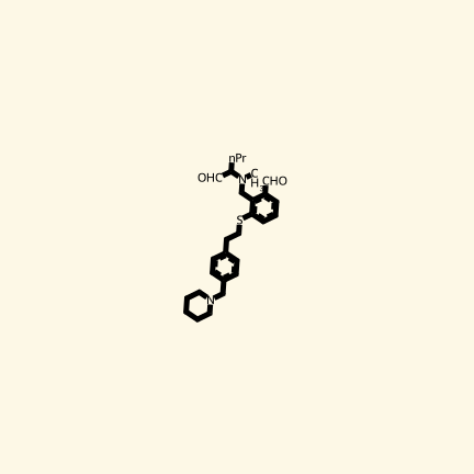 CCCC(C=O)N(C)Cc1c(C=O)cccc1SCCc1ccc(CN2CCCCC2)cc1